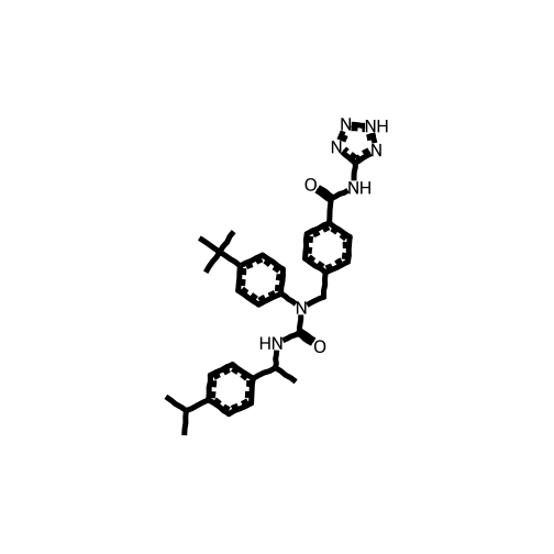 CC(C)c1ccc(C(C)NC(=O)N(Cc2ccc(C(=O)Nc3nn[nH]n3)cc2)c2ccc(C(C)(C)C)cc2)cc1